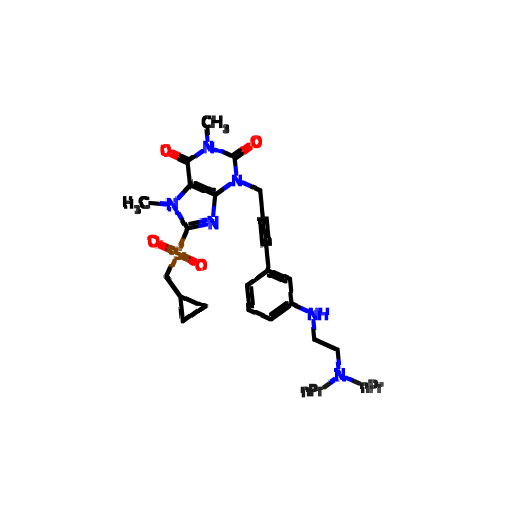 CCCN(CCC)CCNc1cccc(C#CCn2c(=O)n(C)c(=O)c3c2nc(S(=O)(=O)CC2CC2)n3C)c1